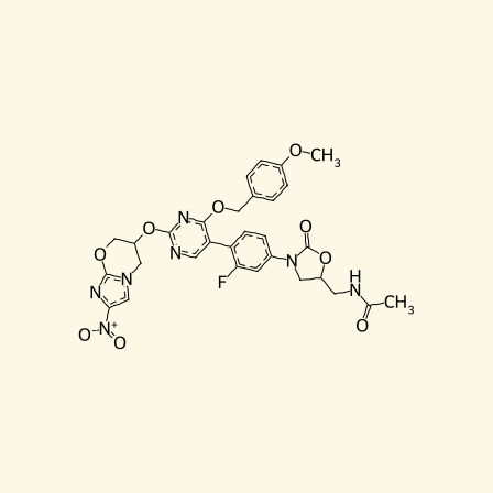 COc1ccc(COc2nc(OC3COc4nc([N+](=O)[O-])cn4C3)ncc2-c2ccc(N3CC(CNC(C)=O)OC3=O)cc2F)cc1